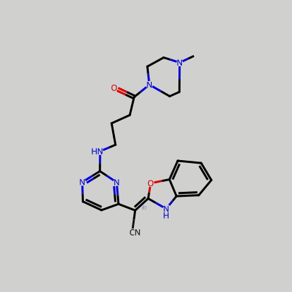 CN1CCN(C(=O)CCCNc2nccc(/C(C#N)=C3/Nc4ccccc4O3)n2)CC1